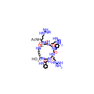 CC(=O)N[C@@H](CCCNC(=N)N)C(=O)N[C@H]1CC(=O)NCCCC[C@@H](C(=O)O)NC(=O)[C@H](Cc2c[nH]c3ccccc23)NC(=O)[C@H](CCCNC(=N)N)NC(=O)[C@@H](Cc2ccccc2)NC(=O)[C@H](CCCNC(=N)N)NC1=O